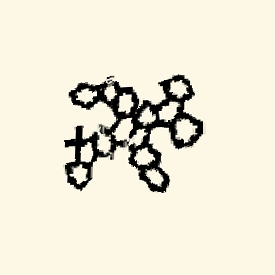 CC1(C)c2ccccc2-c2nc(-n3c4cc5ccccc5cc4c4c5c6ccccc6c6ccccc6c5ccc43)c(-c3cccc4sc5ccccc5c34)nc21